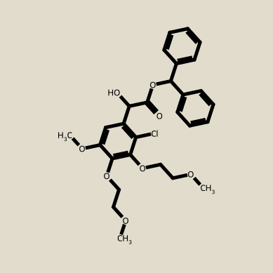 COCCOc1c(OC)cc(C(O)C(=O)OC(c2ccccc2)c2ccccc2)c(Cl)c1OCCOC